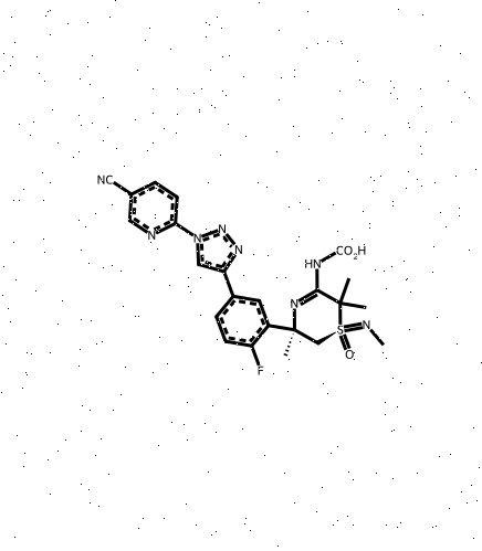 CN=[S@@]1(=O)C[C@@](C)(c2cc(-c3cn(-c4ccc(C#N)cn4)nn3)ccc2F)N=C(NC(=O)O)C1(C)C